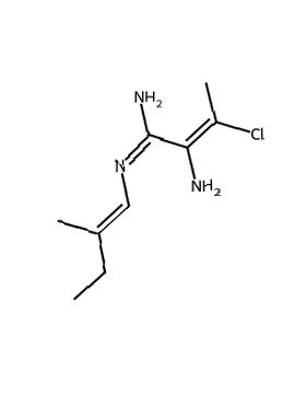 CC/C(C)=C/N=C(N)\C(N)=C(/C)Cl